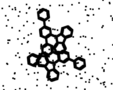 c1ccc(-c2ccc(-c3cc(-c4ccc(-c5ccccc5)cc4-n4c5ccccc5c5ccccc54)nc(-c4ccccc4)n3)c(-n3c4ccccc4c4ccccc43)c2)cc1